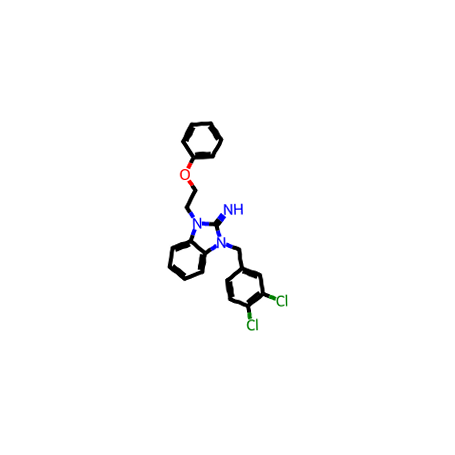 N=c1n(CCOc2ccccc2)c2ccccc2n1Cc1ccc(Cl)c(Cl)c1